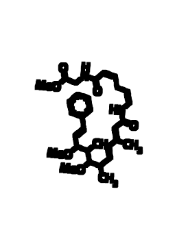 COC(=O)CNC(=O)/C=C\C/C=C\NC(=O)/C=C(C)/C=C/C(C)C(OC)C(C)C(/C=C/c1ccccc1)OC